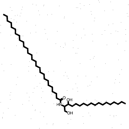 CCCCCCCCCCCCCCCCCCCCCCCCCCCC(=O)NC(CO)C(O)CCCCCCCCCCCCCCC